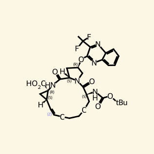 CC(C)(C)OC(=O)N[C@H]1CCCCC/C=C\[C@@H]2C[C@@]2(C(=O)O)NC(=O)[C@@H]2C[C@@H](Oc3nc4ccccc4nc3C(C)(F)F)CN2C1=O